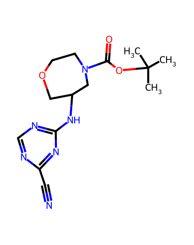 CC(C)(C)OC(=O)N1CCOCC(Nc2ncnc(C#N)n2)C1